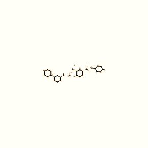 Cc1ccc(-c2cccc(C(=O)N[C@@H](Cc3ccc(-c4noc(-c5ccc(C)cc5)n4)c(F)c3)OC=O)c2)cc1